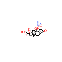 C[C@@]12C(=CC(=O)C=C1OC(N)=O)CC[C@@H]1[C@@H]2[C@@H](O)C[C@@]2(C)[C@H]1CC[C@]2(O)C(=O)CO